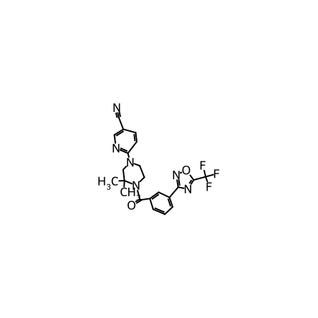 CC1(C)CN(c2ccc(C#N)cn2)CCN1C(=O)c1cccc(-c2noc(C(F)(F)F)n2)c1